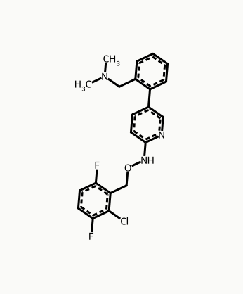 CN(C)Cc1ccccc1-c1ccc(NOCc2c(F)ccc(F)c2Cl)nc1